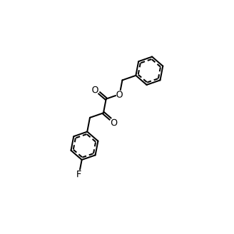 O=C(Cc1ccc(F)cc1)C(=O)OCc1ccccc1